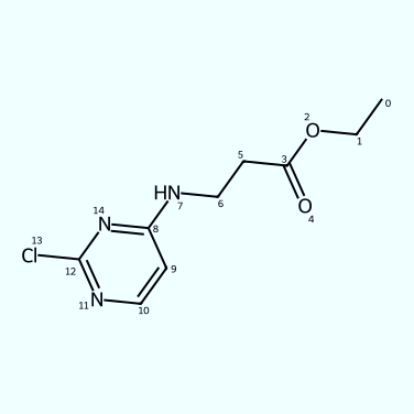 CCOC(=O)CCNc1ccnc(Cl)n1